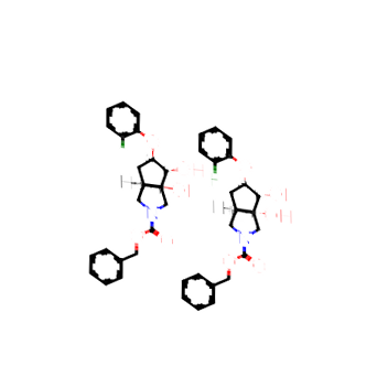 O=C(OCc1ccccc1)N1C[C@@H]2C[C@@H](Oc3ccccc3F)[C@@H](O)[C@]2(O)C1.O=C(OCc1ccccc1)N1C[C@H]2C[C@H](Oc3ccccc3F)[C@H](O)[C@@]2(O)C1